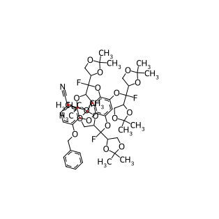 CC1(C)OCC(C(F)(Oc2cc(OC(F)(C3COC(C)(C)O3)C3COC(C)(C)O3)c(OC(F)(C3COC(C)(C)O3)C3COC(C)(C)O3)nc2Oc2cc(C#N)ccc2OCc2ccccc2)C2COC(C)(C)O2)O1